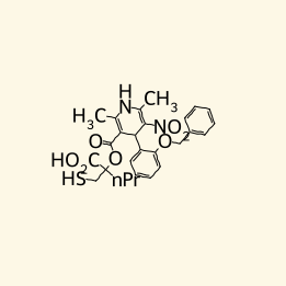 CCCC(CS)(OC(=O)C1=C(C)NC(C)=C([N+](=O)[O-])C1c1ccccc1OCc1ccccc1)C(=O)O